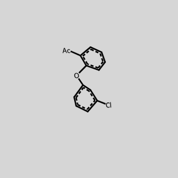 CC(=O)c1ccccc1Oc1cccc(Cl)c1